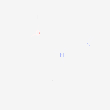 CCOC=O.c1cnc2c(c1)ccn2CC1CC1